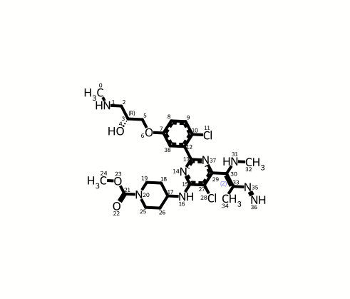 CNC[C@@H](O)COc1ccc(Cl)c(-c2nc(NC3CCN(C(=O)OC)CC3)c(Cl)c(/C(NC)=C(\C)N=N)n2)c1